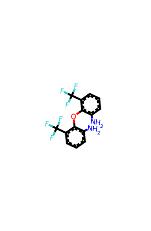 Nc1cccc(C(F)(F)F)c1Oc1c(N)cccc1C(F)(F)F